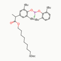 CCCCCCCCCCCCCCCCCCOC(=O)C(C)c1cc(C(C)(C)C)c(OP(F)Oc2c(C(C)(C)C)cccc2C(C)(C)C)c(C(C)(C)C)c1